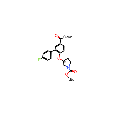 COC(=O)c1ccc(O[C@H]2CCN(C(=O)OC(C)(C)C)C2)c(-c2ccc(F)cc2)c1